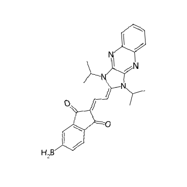 Bc1ccc2c(c1)C(=O)/C(=C/C=C1N(C(C)C)c3nc4ccccc4nc3N1C(C)C)C2=O